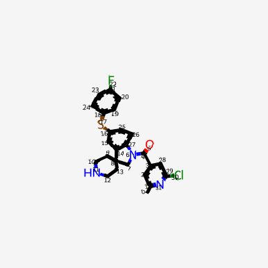 Cc1cc(C(=O)N2CC3(CCNCC3)c3cc(Sc4ccc(F)cc4)ccc32)cc(Cl)n1